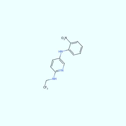 O=[N+]([O-])c1ccccc1Nc1ccc(NCC(F)(F)F)nc1